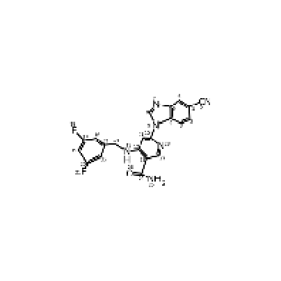 N#Cc1ccc2c(c1)ncn2-c1cc(NCc2cc(F)cc(F)c2)c(C(N)=O)cn1